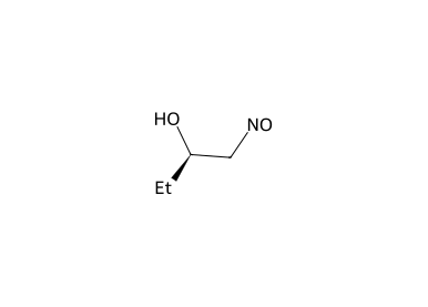 CC[C@@H](O)CN=O